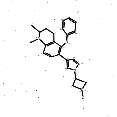 CC1CCc2c(ccc(-c3cnn(C4C[S+]([O-])C4)c3)c2Oc2ccccc2)N1C